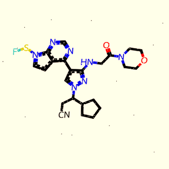 N#CCC(C1CCCC1)n1cc(-c2ncnc3c2ccn3SF)c(NCC(=O)N2CCOCC2)n1